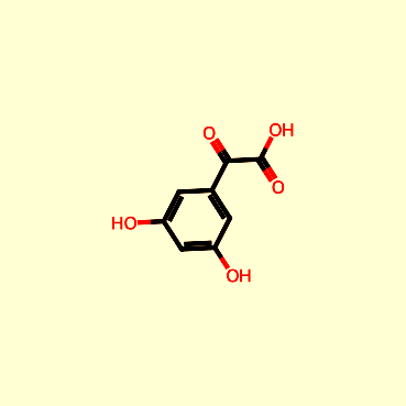 O=C(O)C(=O)c1cc(O)cc(O)c1